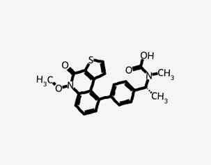 COn1c(=O)c2sccc2c2c(-c3ccc([C@@H](C)N(C)C(=O)O)cc3)cccc21